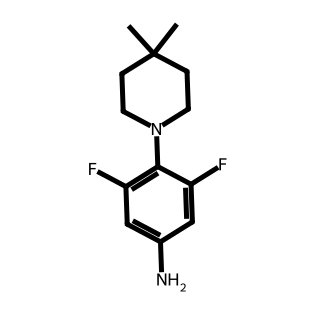 CC1(C)CCN(c2c(F)cc(N)cc2F)CC1